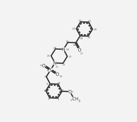 COc1cccc(CS(=O)(=O)N2CCN(CC(=O)c3ccccc3)CC2)c1